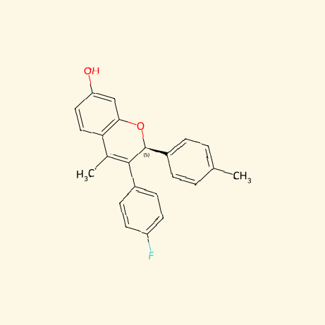 CC1=C(c2ccc(F)cc2)[C@H](c2ccc(C)cc2)Oc2cc(O)ccc21